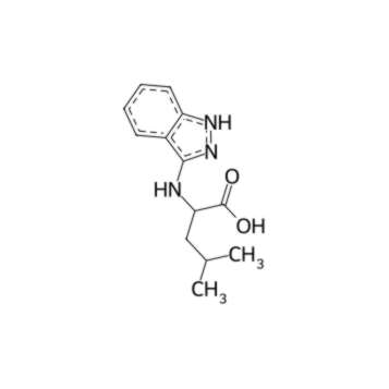 CC(C)CC(Nc1n[nH]c2ccccc12)C(=O)O